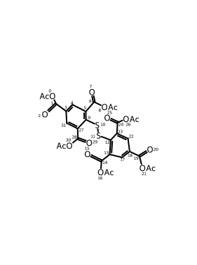 CC(=O)OC(=O)c1cc(C(=O)OC(C)=O)c(SSc2c(C(=O)OC(C)=O)cc(C(=O)OC(C)=O)cc2C(=O)OC(C)=O)c(C(=O)OC(C)=O)c1